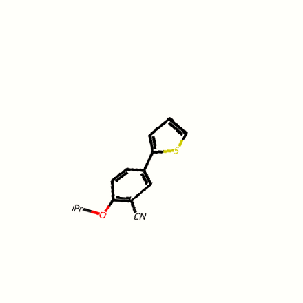 CC(C)Oc1ccc(-c2cccs2)cc1C#N